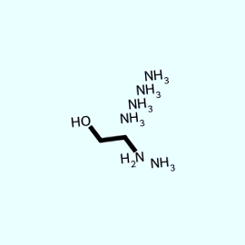 N.N.N.N.N.NCCO